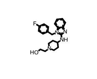 OCCN1CCC(Nc2nc3ccccc3n2Cc2ccc(F)cc2)CC1